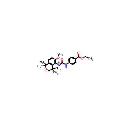 CCOC(=O)c1ccc(NC(=O)Nc2c(OC)ccc3c2C(C)(C)COC3(C)C)cc1